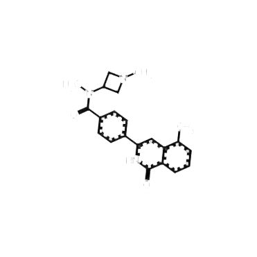 Cc1cccc2c(=O)[nH]c(-c3ccc(C(=O)N(C)C4CN(C)C4)cc3)cc12